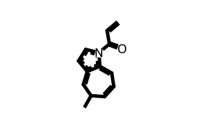 C=CC(=O)n1ccc2c1=CC=CC(C)C=2